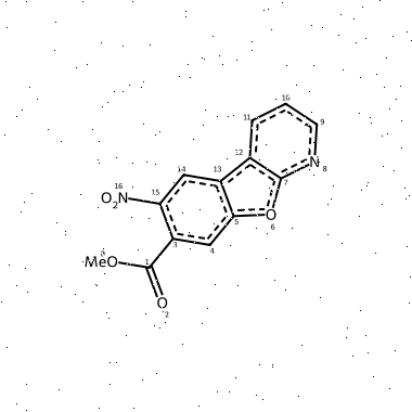 COC(=O)c1cc2oc3ncccc3c2cc1[N+](=O)[O-]